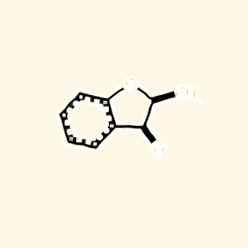 C=C1Oc2ccccc2C1=O